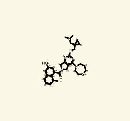 CN(C)CC1(COc2nc3c(c(N4CCCSCC4)n2)CN(C(=O)c2cc(O)cc4cccc(I)c24)C3)CC1